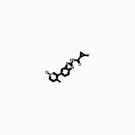 Cc1cc[n+]([O-])cc1-c1ccc2nc(NC(=O)C3CC3F)sc2c1